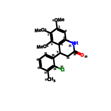 COc1cc2c(c(OC)c1OC)C(c1cccc(C)c1Cl)CC(=O)N2